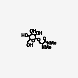 CNC(=O)[C@H](COC1OC(CO)C(O)C(O)C1O)NC